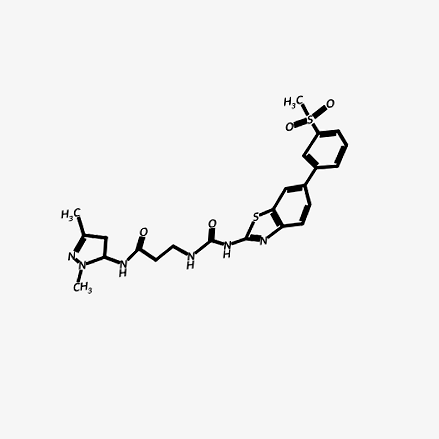 CC1=NN(C)C(NC(=O)CCNC(=O)Nc2nc3ccc(-c4cccc(S(C)(=O)=O)c4)cc3s2)C1